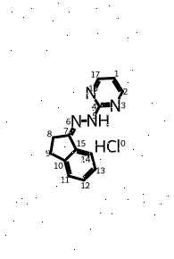 Cl.c1cnc(N/N=C2/CCc3ccccc32)nc1